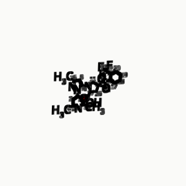 Cc1cc(-n2nc(C)cc2N2CC(S(=O)(=O)c3ccccc3C(F)(F)F)CC2C(=O)O)cc(C)n1